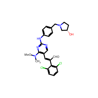 CON(C)c1nc(Nc2ccc(CN3CC[C@H](O)C3)cc2)ncc1/C=C(\C=O)c1c(Cl)cccc1Cl